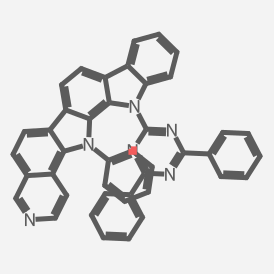 c1ccc(-c2nc(-c3ccccc3)nc(-n3c4ccccc4c4ccc5c6ccc7cnccc7c6n(-c6ccccc6)c5c43)n2)cc1